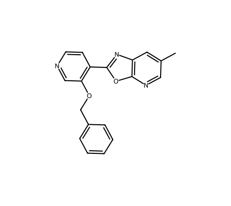 Cc1cnc2oc(-c3ccncc3OCc3ccccc3)nc2c1